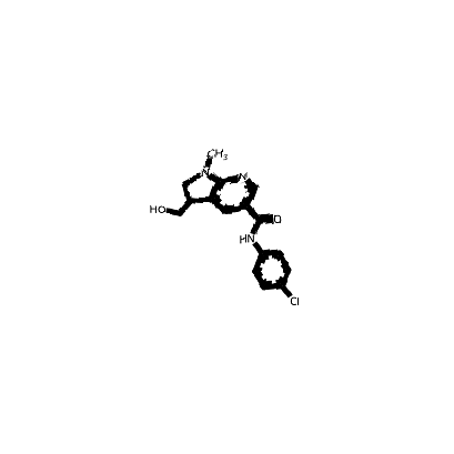 CN1CC(CO)c2cc(C(=O)Nc3ccc(Cl)cc3)cnc21